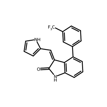 O=C1Nc2cccc(-c3cccc(C(F)(F)F)c3)c2/C1=C/c1ccc[nH]1